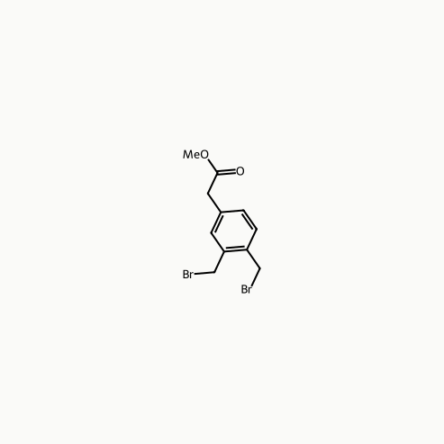 COC(=O)Cc1ccc(CBr)c(CBr)c1